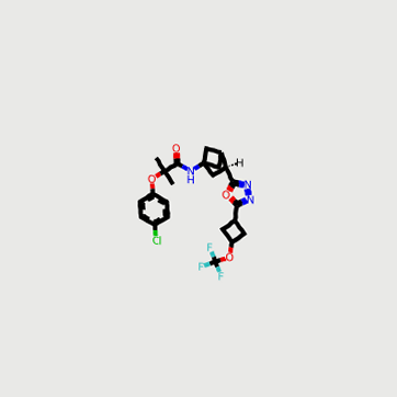 CC(C)(Oc1ccc(Cl)cc1)C(=O)NC12CC(C1)[C@@H](c1nnc(C3CC(OC(F)(F)F)C3)o1)C2